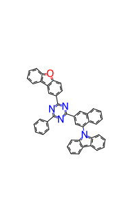 c1ccc(-c2nc(-c3cc(-n4c5ccccc5c5ccccc54)c4ccccc4c3)nc(-c3ccc4oc5ccccc5c4c3)n2)cc1